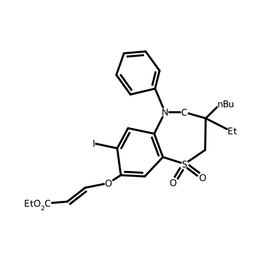 CCCCC1(CC)CN(c2ccccc2)c2cc(I)c(O/C=C/C(=O)OCC)cc2S(=O)(=O)C1